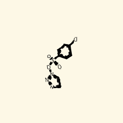 O=S(=O)(On1ccnn1)c1ccc(Cl)cc1